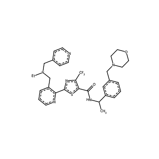 CCN(Cc1ccncc1)Cc1cccnc1-c1nc(C(F)(F)F)c(C(=O)NC(C)c2cccc(CN3CCOCC3)c2)s1